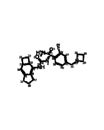 N[S@](=O)(=NC(=O)Nc1c2c(cc3c1CC3)CCC2)c1ccc(CN2CCC2)cc1F